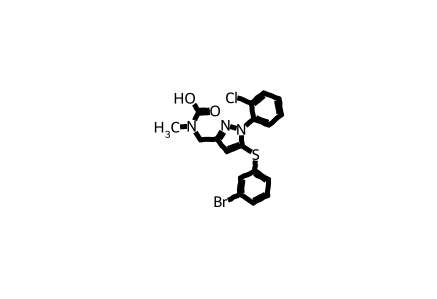 CN(Cc1cc(Sc2cccc(Br)c2)n(-c2ccccc2Cl)n1)C(=O)O